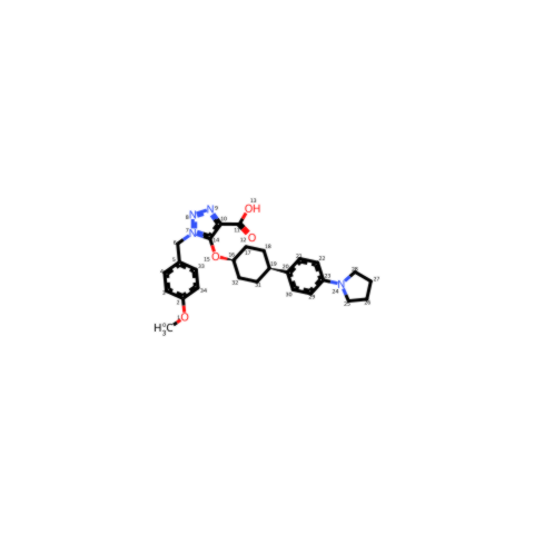 COc1ccc(Cn2nnc(C(=O)O)c2O[C@H]2CC[C@@H](c3ccc(N4CCCC4)cc3)CC2)cc1